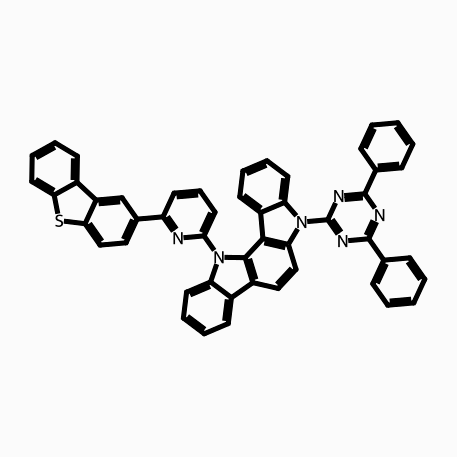 c1ccc(-c2nc(-c3ccccc3)nc(-n3c4ccccc4c4c3ccc3c5ccccc5n(-c5cccc(-c6ccc7sc8ccccc8c7c6)n5)c34)n2)cc1